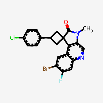 CN1C(=O)C2(CC(c3ccc(Cl)cc3)C2)c2c1cnc1cc(F)c(Br)cc21